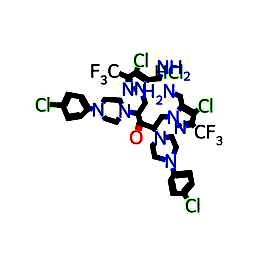 Cl.NCc1c(Cl)c(C(F)(F)F)nn1CC(C(=O)C(Cn1nc(C(F)(F)F)c(Cl)c1CN)N1CCN(c2ccc(Cl)cc2)CC1)N1CCN(c2ccc(Cl)cc2)CC1